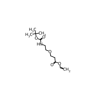 C=COC(=O)CCOCCNC(=O)OC(C)(C)C